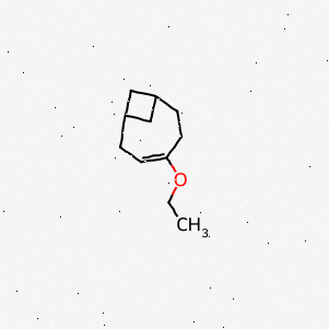 CCO/C1=C/CC2CC(CC1)C2